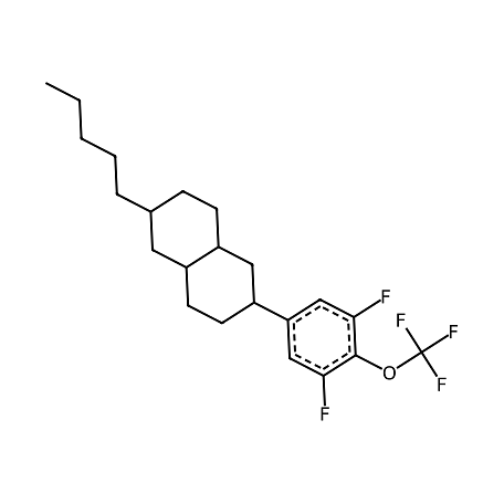 CCCCCC1CCC2CC(c3cc(F)c(OC(F)(F)F)c(F)c3)CCC2C1